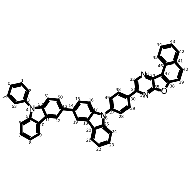 c1ccc(-n2c3ccccc3c3cc(-c4ccc5c(c4)c4ccccc4n5-c4ccc(-c5cnc6c(n5)oc5ccc7ccccc7c56)cc4)ccc32)cc1